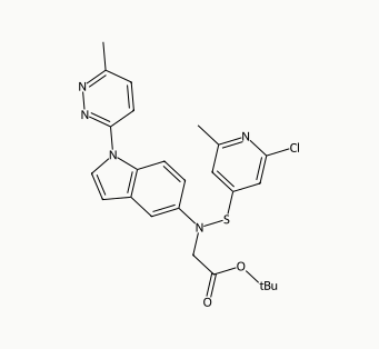 Cc1ccc(-n2ccc3cc(N(CC(=O)OC(C)(C)C)Sc4cc(C)nc(Cl)c4)ccc32)nn1